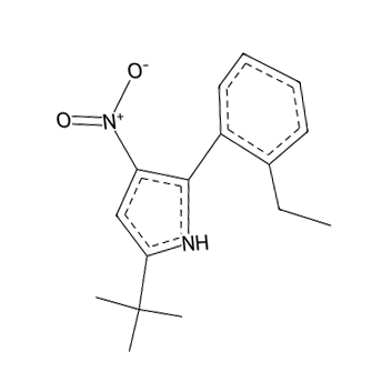 CCc1ccccc1-c1[nH]c(C(C)(C)C)cc1[N+](=O)[O-]